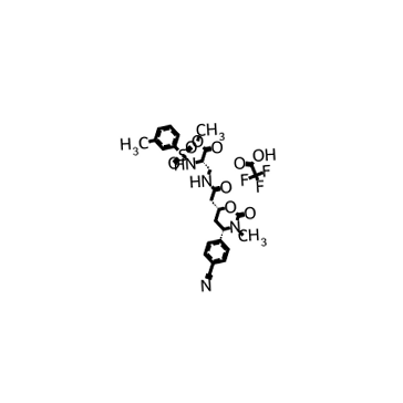 COC(=O)[C@H](CNC(=O)C[C@H]1C[C@@H](c2ccc(C#N)cc2)N(C)C(=O)O1)NS(=O)(=O)c1cccc(C)c1.O=C(O)C(F)(F)F